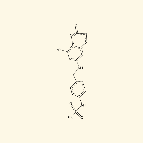 CC(C)c1cc(NCc2ccc(NS(=O)(=O)C(C)(C)C)cc2)cc2ccc(=O)oc12